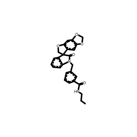 CCCNC(=O)c1cccc(CN2C(=O)C3(COc4cc5c(cc43)OCO5)c3ccccc32)c1